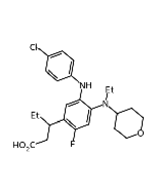 CCC(CC(=O)O)c1cc(Nc2ccc(Cl)cc2)c(N(CC)C2CCOCC2)cc1F